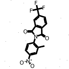 Cc1cc([N+](=O)[O-])ccc1N1C(=O)c2ccc(C(F)(F)F)cc2C1=O